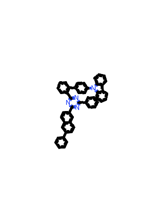 c1ccc(-c2ccc3cc(-c4nc(-c5ccccc5)nc(-c5ccccc5-c5ccc(-n6c7ccccc7c7ccccc76)cc5)n4)ccc3c2)cc1